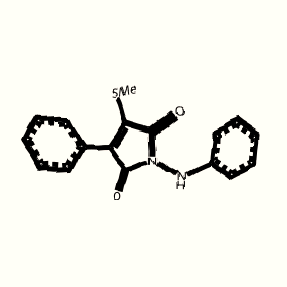 CSC1=C(c2ccccc2)C(=O)N(Nc2ccccc2)C1=O